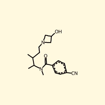 CC(CCN1CC(O)C1)C(C)N(C)C(=O)c1ccc(C#N)cc1